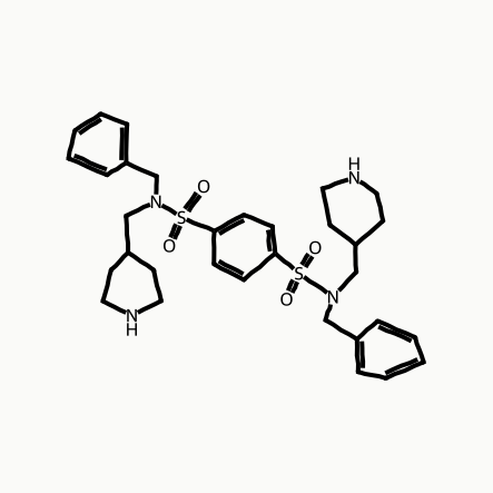 O=S(=O)(c1ccc(S(=O)(=O)N(Cc2ccccc2)CC2CCNCC2)cc1)N(Cc1ccccc1)CC1CCNCC1